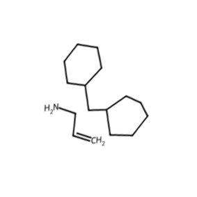 C1CCC(CC2CCCCC2)CC1.C=CCN